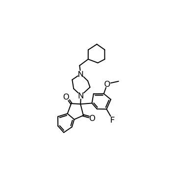 COc1cc(F)cc(C2(N3CCN(CC4CCCCC4)CC3)C(=O)c3ccccc3C2=O)c1